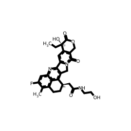 CC[C@@]1(O)C(=O)OCc2c1cc1n(c2=O)Cc2c-1nc1cc(F)c(C)c3c1c2[C@@H](CC(=O)NCCO)CC3